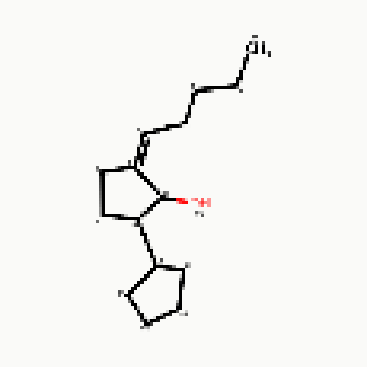 CCCCC=C1CCC(C2CCCC2)C1O